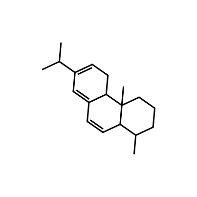 CC(C)C1=CCC2C(=C1)C=CC1C(C)CCCC21C